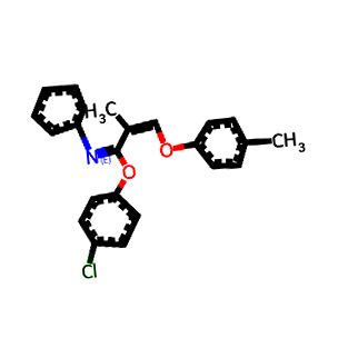 CC(=COc1ccc(C)cc1)/C(=N\c1ccccc1)Oc1ccc(Cl)cc1